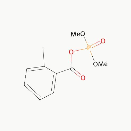 COP(=O)(OC)OC(=O)c1ccccc1C